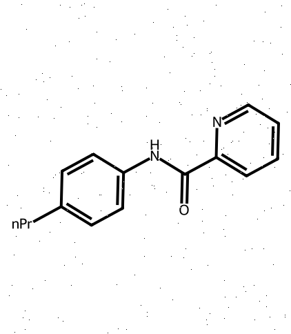 CCCc1ccc(NC(=O)c2ccccn2)cc1